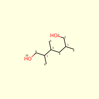 CC(CO)CC(C)C(C)CO